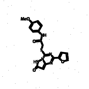 COc1ccc(NC(=O)CSc2nc(-c3ccco3)nc3cc(=O)[nH]n23)cc1